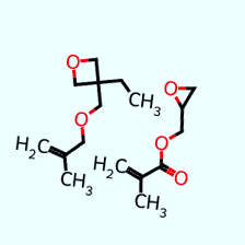 C=C(C)C(=O)OCC1CO1.C=C(C)COCC1(CC)COC1